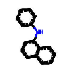 [c]1ccc(Nc2cccc3ccccc23)cc1